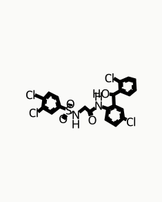 O=C(CNS(=O)(=O)c1ccc(Cl)c(Cl)c1)Nc1ccc(Cl)cc1C(O)c1ccccc1Cl